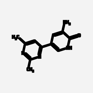 Cc1cc(-c2c[nH]c(=O)c(N)c2)nc(C)n1